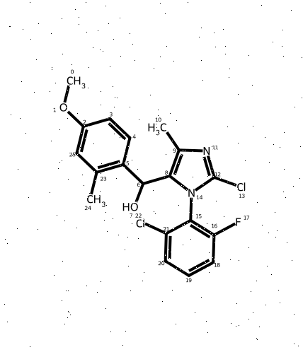 COc1ccc(C(O)c2c(C)nc(Cl)n2-c2c(F)cccc2Cl)c(C)c1